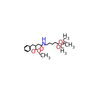 CCOC(=O)C(CC(=O)NCCCCC(=O)OC(C)(C)C)Cc1ccccc1